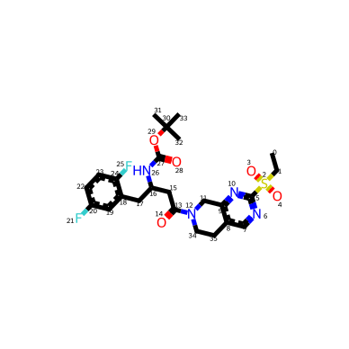 CCS(=O)(=O)c1ncc2c(n1)CN(C(=O)CC(Cc1cc(F)ccc1F)NC(=O)OC(C)(C)C)CC2